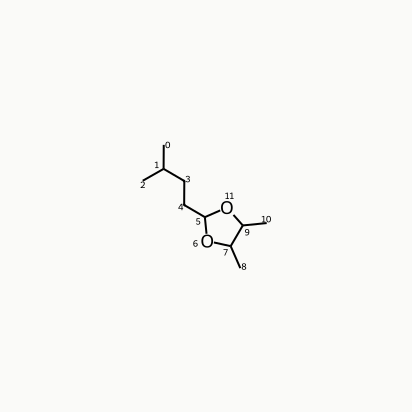 CC(C)CCC1OC(C)C(C)O1